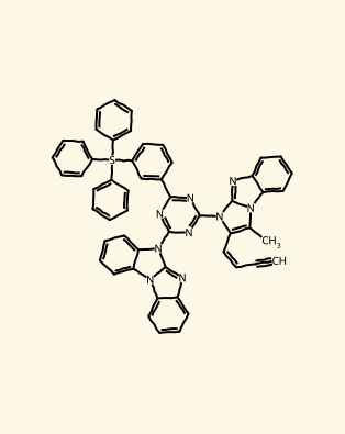 C#C/C=C\c1c(C)n2c3ccccc3nc2n1-c1nc(-c2cccc(S(c3ccccc3)(c3ccccc3)c3ccccc3)c2)nc(-n2c3ccccc3n3c4ccccc4nc23)n1